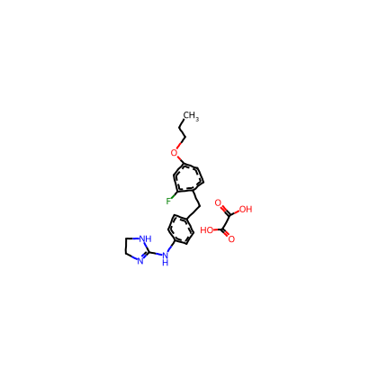 CCCOc1ccc(Cc2ccc(NC3=NCCN3)cc2)c(F)c1.O=C(O)C(=O)O